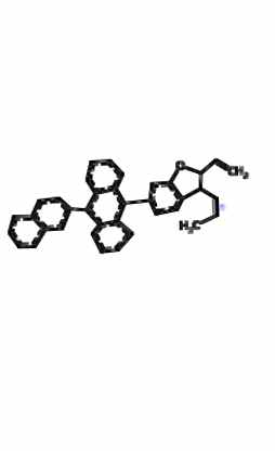 C=CC1Oc2cc(-c3c4ccccc4c(-c4ccc5ccccc5c4)c4ccccc34)ccc2C1/C=C\C